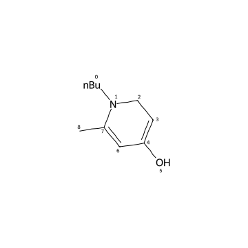 CCCCN1CC=C(O)C=C1C